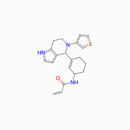 C=CC(=O)NC1C=C(C2c3cc[nH]c3CCN2c2ccsc2)CCC1